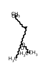 CCCCCCCCCC(CCCCCCCCC1CC1CCCCCCCC(=O)OC)OC(=O)CCCN(C)C